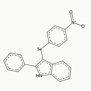 O=[N+]([O-])c1ccc([Se]c2c(-c3ccccc3)[nH]c3ccccc23)cc1